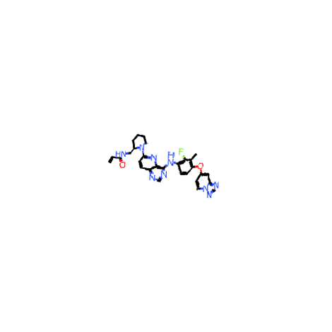 C=CC(=O)NC[C@H]1CCCCN1c1ccc2ncnc(Nc3ccc(Oc4ccn5ncnc5c4)c(C)c3F)c2n1